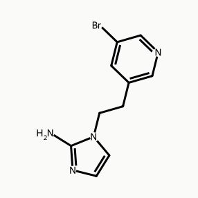 Nc1nccn1CCc1cncc(Br)c1